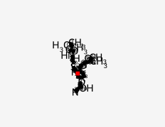 CC(C)(C)OC(=O)NCCCSc1nc2cc(OCC(O)C#N)ccc2n1COCC[Si](C)(C)C